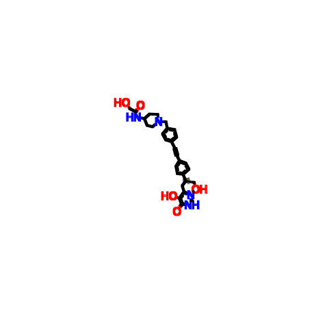 O=C(CO)NC1CCN(Cc2ccc(C#Cc3ccc([C@@H](CO)Cc4nc[nH]c(=O)c4O)cc3)cc2)CC1